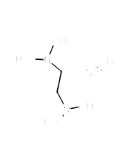 CN(C)CCN(C)C.[Br-].[Br-].[Ni+2]